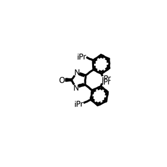 CC(C)c1cccc(C(C)C)c1C1=NC(=O)N=C1c1c(C(C)C)cccc1C(C)C